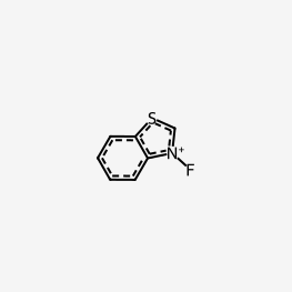 F[n+]1csc2ccccc21